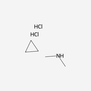 C1CC1.CNC.Cl.Cl